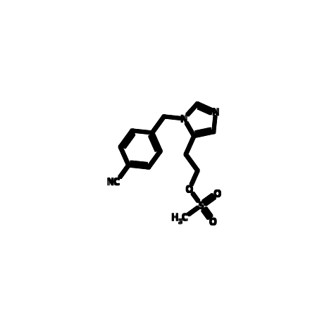 CS(=O)(=O)OCCc1cncn1Cc1ccc(C#N)cc1